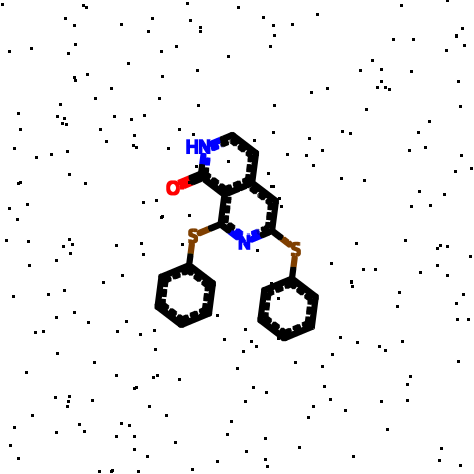 O=c1[nH]ccc2cc(Sc3ccccc3)nc(Sc3ccccc3)c12